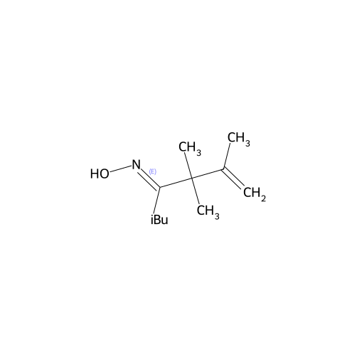 C=C(C)C(C)(C)/C(=N/O)C(C)CC